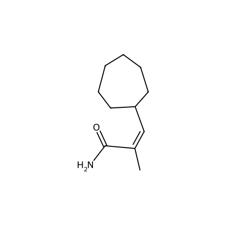 CC(=CC1CCCCCC1)C(N)=O